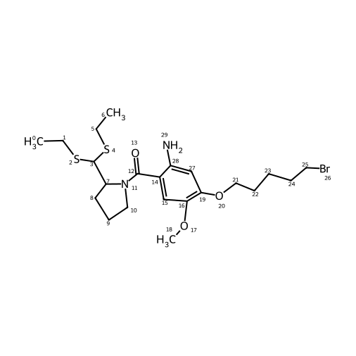 CCSC(SCC)C1CCCN1C(=O)c1cc(OC)c(OCCCCCBr)cc1N